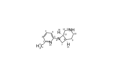 Cc1cccc(N2C[C@@H]3CCNC[C@@H]32)n1